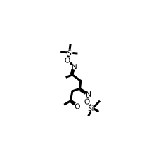 CC(=O)C/C(C/C(C)=N/O[Si](C)(C)C)=N\O[Si](C)(C)C